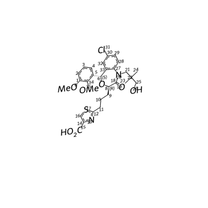 COc1cccc([C@H]2O[C@H](CCCc3nc(C(=O)O)cs3)C(=O)N(CC(C)(C)CO)c3ccc(Cl)cc32)c1OC